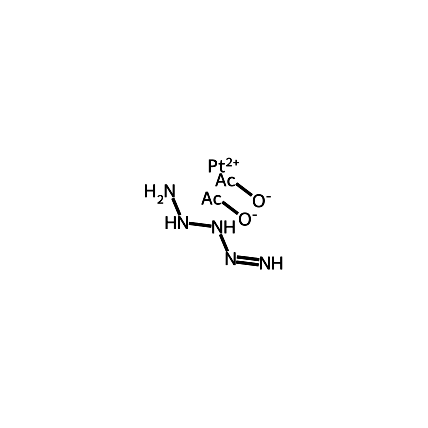 CC(=O)[O-].CC(=O)[O-].N=NNNN.[Pt+2]